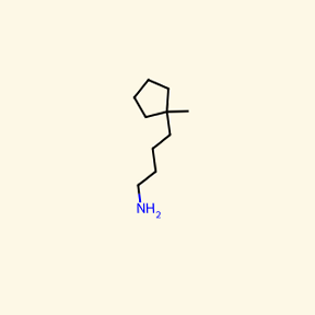 CC1(CCCCN)CCCC1